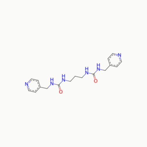 O=C(NCCCNC(=O)NCc1ccncc1)NCc1ccncc1